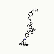 CCCCCOC(=O)/C=C/c1ccc(OC(=O)C(C)(CC)CC(=O)OCCOc2ccc(CO)cc2)cc1